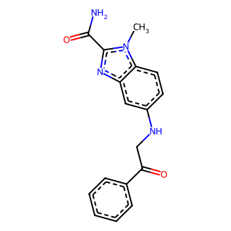 Cn1c(C(N)=O)nc2cc(NCC(=O)c3ccccc3)ccc21